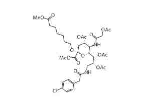 COC(=O)CCCCCCO[C@]1(C(=O)OC)C[C@H](OC(C)=O)[C@@H](NC(=O)COC(C)=O)[C@H]([C@H](OC(C)=O)[C@@H](CNC(=O)Cc2ccc(Cl)cc2)OC(C)=O)O1